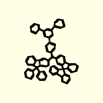 c1ccc(-c2cc(-c3ccccc3)cc(-c3ccc(N(c4ccc5c(c4)-c4ccccc4C5(c4ccccc4)c4ccccc4)c4ccc5c(c4)C4(c6ccccc6-c6ccccc64)c4ccccc4-5)cc3)c2)cc1